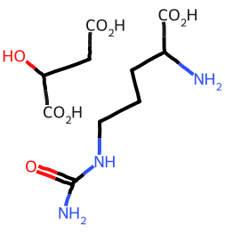 NC(=O)NCCCC(N)C(=O)O.O=C(O)CC(O)C(=O)O